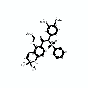 COCOc1c(C(=O)C(c2ccc(OC)c(OC)c2)S(=O)(=O)c2ccccc2)ccc2c1C=CC(C)(C)O2